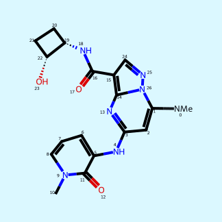 CNc1cc(Nc2cccn(C)c2=O)nc2c(C(=O)N[C@H]3CC[C@H]3O)cnn12